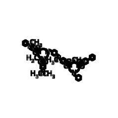 C=C1CN(S(=O)(=O)c2ccc(N(C)C)cc2)CCCN(CC2CCC(CN(C)c3ccc(S(=O)(=O)N4CCCN(CC5CCCCC5)CCCN(S(=O)(=O)N5CCC(c6ccccc6)CC5)CC(C)C4)cc3)CC2)CCCN(S(=O)(=O)N2CCN(c3ccccc3)[C@H](C)C2)C1